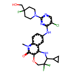 Cn1c(=O)c2c(c3cc(Nc4nc(N5CCC(F)(CO)CC5)ncc4Cl)ccc31)NC(C1CC1)C(F)(F)CO2